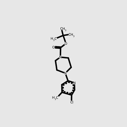 Cc1cc(N2CCN(C(=O)OC(C)(C)C)CC2)ncc1Cl